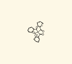 O=C(c1ccccc1)C(C(=O)c1ccccc1)(C(=O)c1ccccc1)C(=O)C(F)(F)F